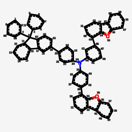 c1ccc(C2(c3ccccc3)c3ccccc3-c3cc(-c4ccc(N(c5ccc(-c6cccc7c6oc6ccccc67)cc5)c5cccc(-c6cccc7c6oc6ccccc67)c5)cc4)ccc32)cc1